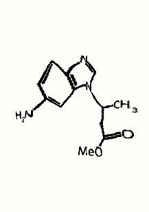 COC(=O)CC(C)n1cnc2ccc(N)cc21